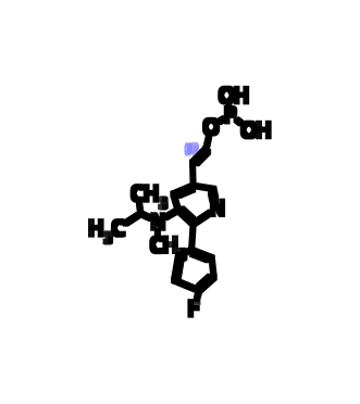 CC(C)N(C)c1cc(/C=C/OP(O)O)cnc1-c1ccc(F)cc1